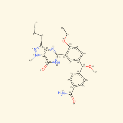 CCCc1nn(C)c2c(=O)[nH]c(-c3cc(C(OC)c4ccc(C(N)=O)cc4)ccc3OCC)nc12